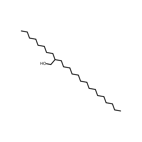 CCCCCCCCCCCCCCCC(CO)CCCCCCCC